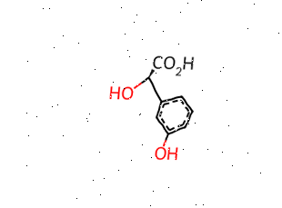 O=C(O)[C@H](O)c1cccc(O)c1